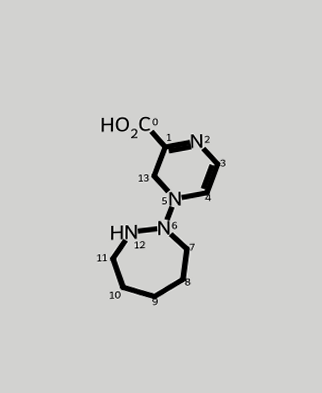 O=C(O)C1=NC=CN(N2CCCCCN2)C1